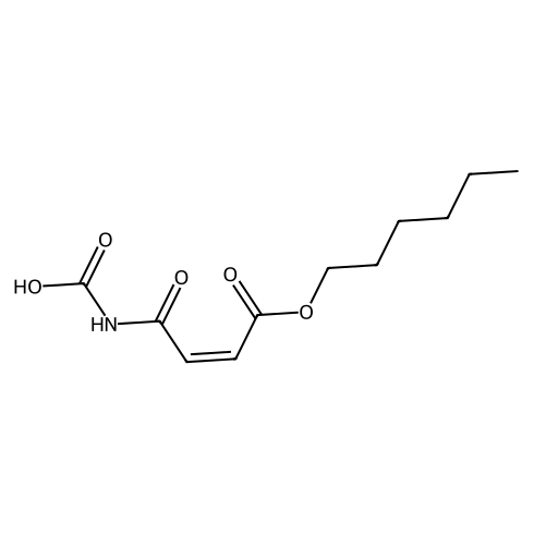 CCCCCCOC(=O)/C=C\C(=O)NC(=O)O